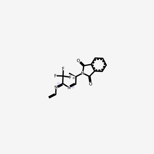 C=C/N=C(\N=C/[C@@H](C)N1C(=O)c2ccccc2C1=O)C(F)(F)F